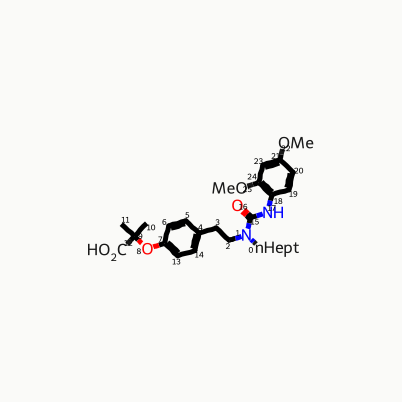 CCCCCCCN(CCc1ccc(OC(C)(C)C(=O)O)cc1)C(=O)Nc1ccc(OC)cc1OC